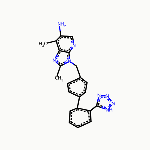 Cc1c(N)cnc2c1nc(C)n2Cc1ccc(-c2ccccc2-c2nnn[nH]2)cc1